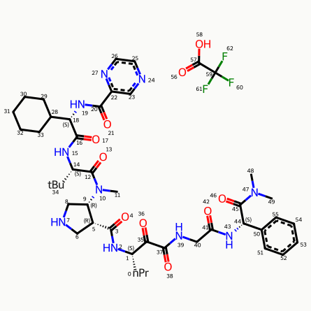 CCC[C@H](NC(=O)[C@@H]1CNC[C@@H]1N(C)C(=O)[C@@H](NC(=O)[C@@H](NC(=O)c1cnccn1)C1CCCCC1)C(C)(C)C)C(=O)C(=O)NCC(=O)N[C@H](C(=O)N(C)C)c1ccccc1.O=C(O)C(F)(F)F